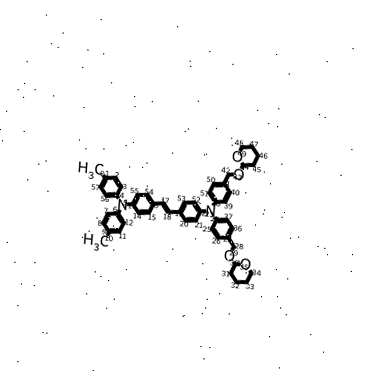 Cc1ccc(N(c2ccc(C)cc2)c2ccc(C=Cc3ccc(N(c4ccc(COC5CCCCO5)cc4)c4ccc(COC5CCCCO5)cc4)cc3)cc2)cc1